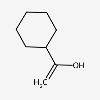 C=C(O)C1CCCCC1